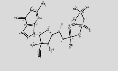 C#CC1(N)[C@@H](O)[C@@H]([C@H](C)OP(=O)(O)OP(=O)(O)OP(=O)(O)O)O[C@H]1n1cnc2c(=O)[nH]c(N)nc21